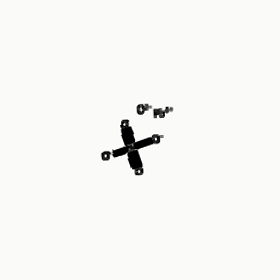 O=S(=O)([O-])[O-].[O-2].[Pb+4]